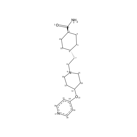 NC(=O)[C@H]1CC[C@H](CCN2CCC(Oc3ccncc3)CC2)CC1